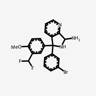 COc1ccc(C2(c3cccc(Br)c3)NC(N)c3ncccc32)cc1C(F)F